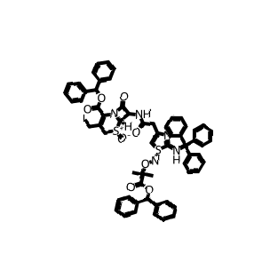 CC(C)(ON=S1C=C(CC(=O)NC2C(=O)N3C(C(=O)OC(c4ccccc4)c4ccccc4)=C(CI)C[S+]([O-])[C@@H]23)N=C1NC(c1ccccc1)(c1ccccc1)c1ccccc1)C(=O)OC(c1ccccc1)c1ccccc1